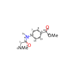 CNCC(=O)N(C)c1ccc(C(=O)OC)cc1